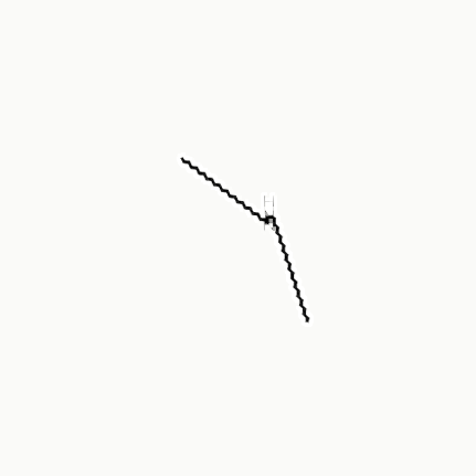 CCCCCCCCCCCCCCCCCCCCCCC1=NC(CCCCCCCCCCCCCCCCCCCCCC)CN1